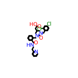 O=C(O)CC1CN(Cc2ccc(Cl)cc2Cl)C(=O)N(Cc2ccccc2C(=O)NCCc2ccccn2)C1